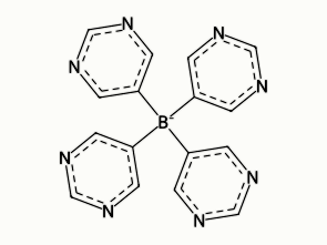 c1ncc([B-](c2cncnc2)(c2cncnc2)c2cncnc2)cn1